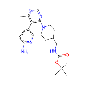 Cc1ncnc(N2CCC(CNC(=O)OC(C)(C)C)CC2)c1-c1ccc(N)nc1